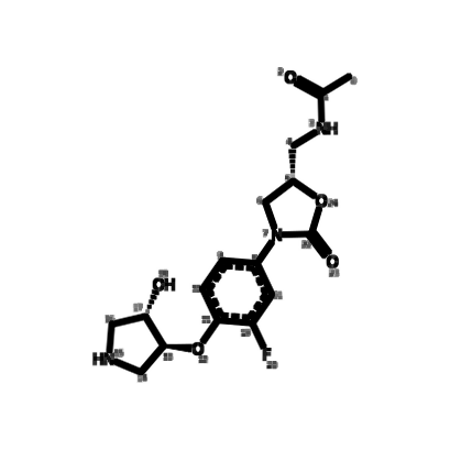 CC(=O)NC[C@H]1CN(c2ccc(O[C@H]3CNC[C@@H]3O)c(F)c2)C(=O)O1